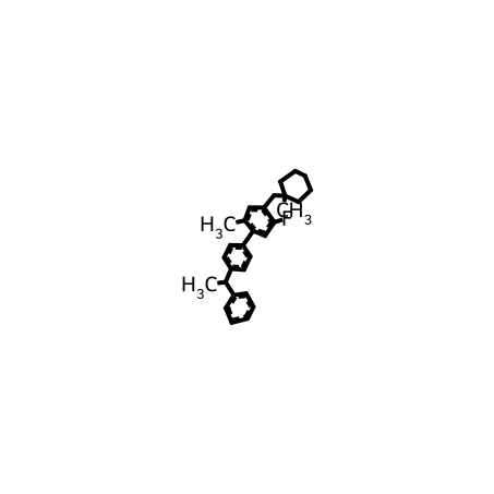 Cc1cc(CC2(C)CCCCC2)c(F)cc1-c1ccc(C(C)c2ccccc2)cc1